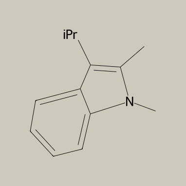 Cc1c(C(C)C)c2ccccc2n1C